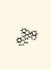 COC(=O)N(NC(=O)c1c(CN2CCSCC2)c(-c2ccccc2)nc2ccccc12)c1ccccc1